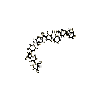 Cc1cc([C@H]2CCCN(c3cc(-c4ccccc4O)nnc3N)C2)ccc1C(=O)N1CCC(F)(CN2CCC(n3cc(C)c4cc(N5CCC(=O)NC5=O)ccc43)CC2)CC1